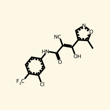 Cc1oncc1/C(O)=C(\C#N)C(=O)Nc1ccc(C(F)(F)F)c(Cl)c1